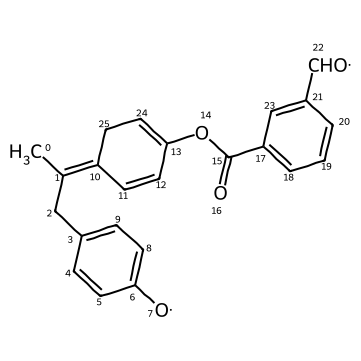 CC(Cc1ccc([O])cc1)=C1C=CC(OC(=O)c2cccc([C]=O)c2)=CC1